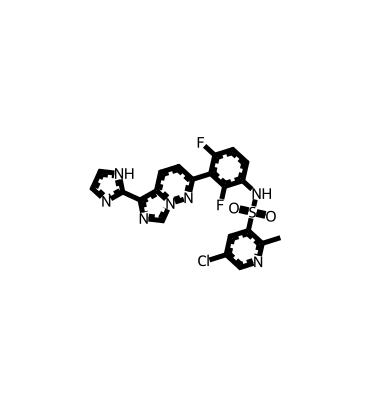 Cc1ncc(Cl)cc1S(=O)(=O)Nc1ccc(F)c(-c2ccc3c(-c4ncc[nH]4)ncn3n2)c1F